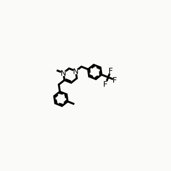 Cc1cccc(CC2=CCN(Cc3ccc(C(F)(F)F)cc3)CN2C)c1